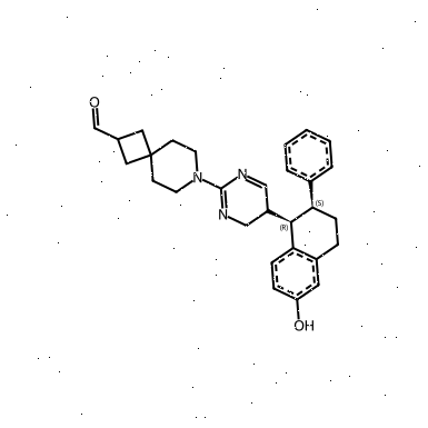 O=CC1CC2(CCN(C3=NCC([C@@H]4c5ccc(O)cc5CC[C@@H]4c4ccccc4)C=N3)CC2)C1